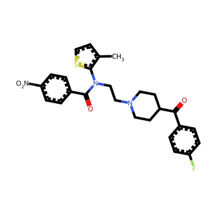 Cc1ccsc1N(CCN1CCC(C(=O)c2ccc(F)cc2)CC1)C(=O)c1ccc([N+](=O)[O-])cc1